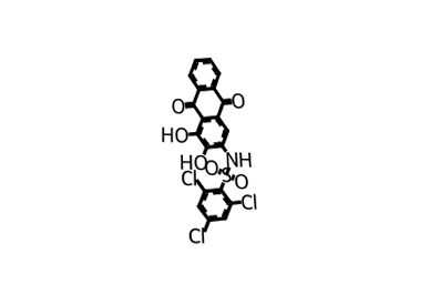 O=C1c2ccccc2C(=O)c2c1cc(NS(=O)(=O)c1c(Cl)cc(Cl)cc1Cl)c(O)c2O